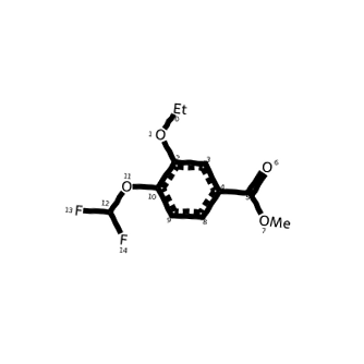 CCOc1cc(C(=O)OC)ccc1OC(F)F